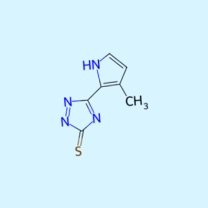 Cc1cc[nH]c1C1=NC(=S)N=N1